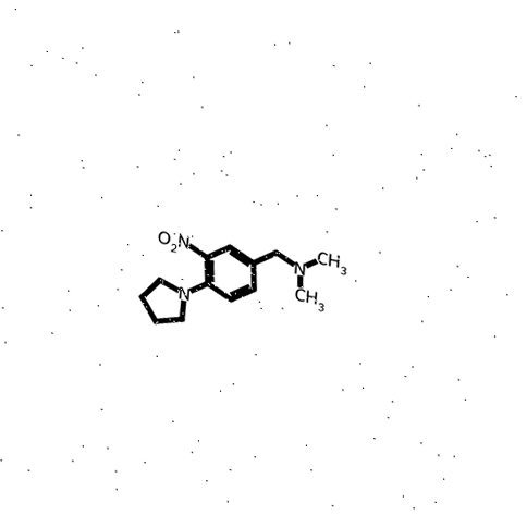 CN(C)Cc1ccc(N2CCCC2)c([N+](=O)[O-])c1